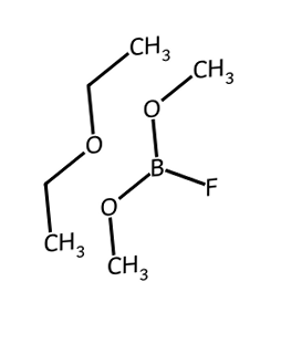 CCOCC.COB(F)OC